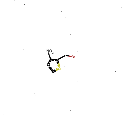 O=[N+]([O-])c1ccsc1CBr